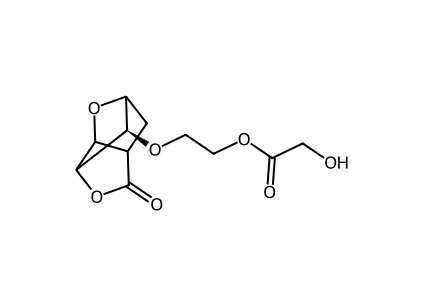 O=C(CO)OCCO[C@@H]1C2CC3C(=O)OC1C3O2